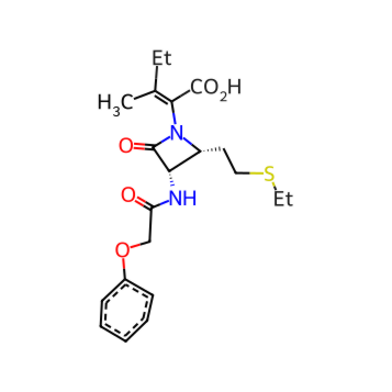 CCSCC[C@@H]1[C@H](NC(=O)COc2ccccc2)C(=O)N1C(C(=O)O)=C(C)CC